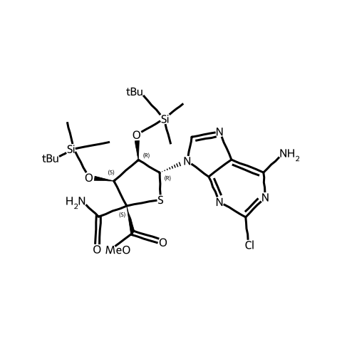 COC(=O)[C@]1(C(N)=O)S[C@@H](n2cnc3c(N)nc(Cl)nc32)[C@H](O[Si](C)(C)C(C)(C)C)[C@@H]1O[Si](C)(C)C(C)(C)C